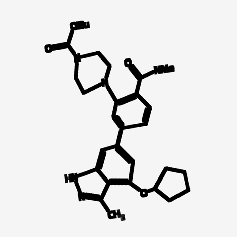 CNC(=O)c1ccc(-c2cc(OC3CCCC3)c3c(C)n[nH]c3c2)cc1N1CCN(C(=O)OCC(C)C)CC1